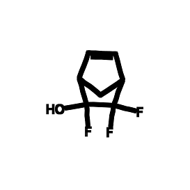 OC1(F)C2C=CC(C2)C1(F)F